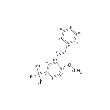 COc1ncc(C(F)(F)F)cc1/C=C/c1ccccc1